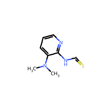 CN(C)c1cccnc1N[C]=S